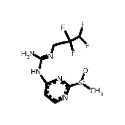 C[S+]([O-])c1nccc(NC(N)=NCC(F)(F)C(F)F)n1